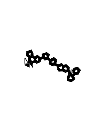 c1cc(-c2ccc(-c3ccc4cc(-n5c6ccccc6c6ccccc65)ccc4c3)cc2)cc(-c2ccc3c(c2)c2ccccc2c2nccnc32)c1